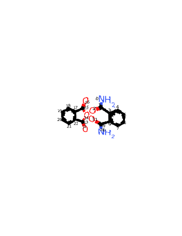 NC(=O)c1ccccc1C(N)=O.O=C1OC(=O)c2ccccc21